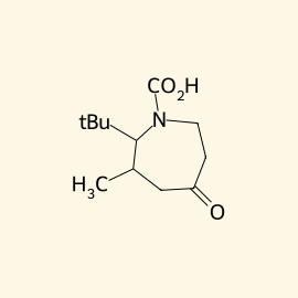 CC1CC(=O)CCN(C(=O)O)C1C(C)(C)C